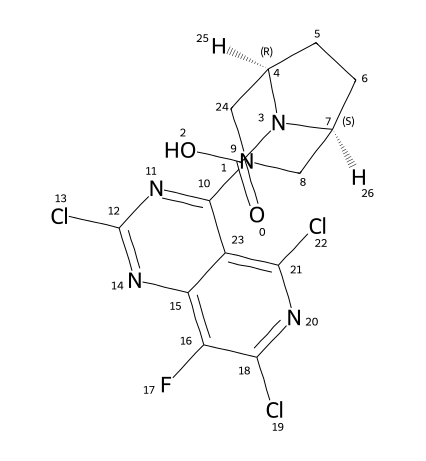 O=C(O)N1[C@@H]2CC[C@H]1CN(c1nc(Cl)nc3c(F)c(Cl)nc(Cl)c13)C2